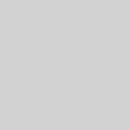 Cc1ccc(C)c(-c2ccccc2)c1Cc1ccccc1Cl